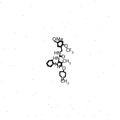 COCc1ccc(OC(F)(F)F)c(CNC(=O)Nc2c(C)c(OC3CCN(C)CC3)nn2-c2ccccc2)c1